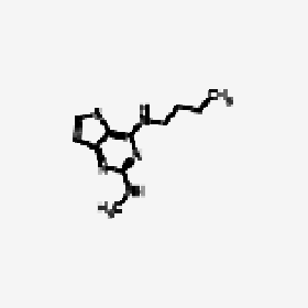 CCCCNc1nc(NC)nc2ccsc12